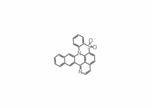 O=S1(=O)c2ccccc2N2c3cc4ccccc4cc3-c3nccc4ccc1c2c34